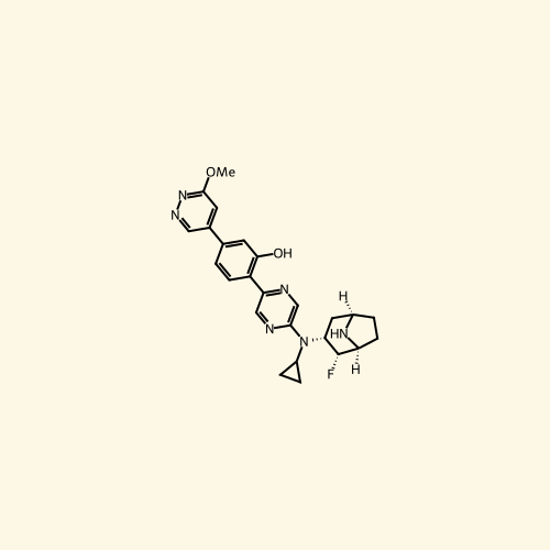 COc1cc(-c2ccc(-c3cnc(N(C4CC4)[C@@H]4C[C@H]5CC[C@H](N5)[C@@H]4F)cn3)c(O)c2)cnn1